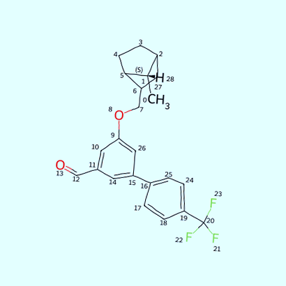 C[C@H]1C2CCC1C(COc1cc(C=O)cc(-c3ccc(C(F)(F)F)cc3)c1)C2